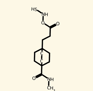 CNC(=O)C12CCC(CCC(=O)ONS)(CC1)CC2